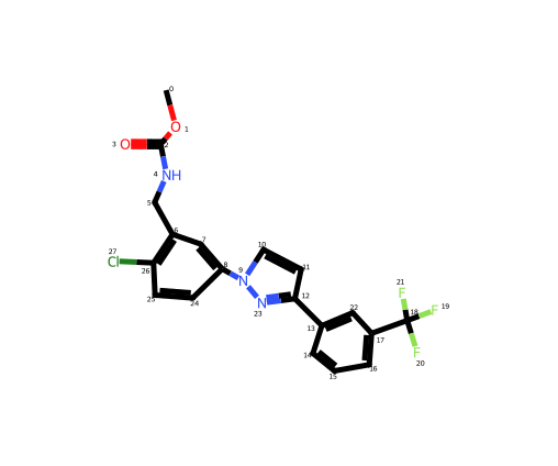 COC(=O)NCc1cc(-n2ccc(-c3cccc(C(F)(F)F)c3)n2)ccc1Cl